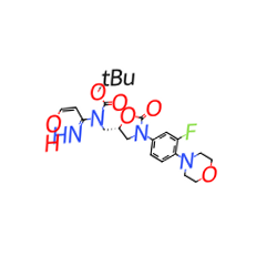 CC(C)(C)OC(=O)N(C[C@H]1CN(c2ccc(N3CCOCC3)c(F)c2)C(=O)O1)C(=N)/C=C\O